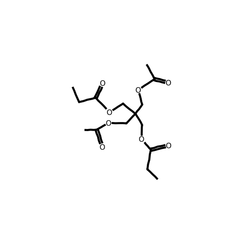 CCC(=O)OCC(COC(C)=O)(COC(C)=O)COC(=O)CC